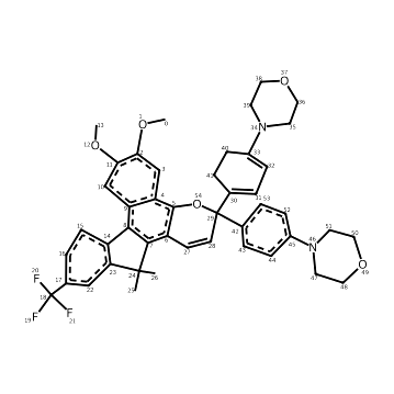 COc1cc2c3c(c4c(c2cc1OC)-c1ccc(C(F)(F)F)cc1C4(C)C)C=CC(C1=CC=C(N2CCOCC2)CC1)(c1ccc(N2CCOCC2)cc1)O3